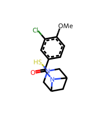 COc1ccc(C(=O)N2C3CC2CN(S)C3)cc1Cl